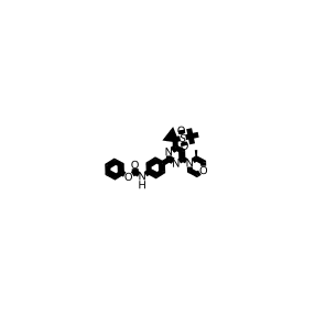 C[C@H]1COCCN1c1cc(C2(S(=O)(=O)C(C)(C)C)CC2)nc(-c2ccc(NC(=O)Oc3ccccc3)cc2)n1